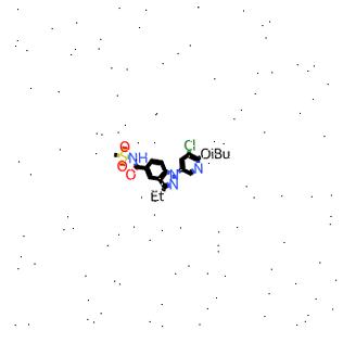 CCc1nn(-c2cnc(OCC(C)C)c(Cl)c2)c2ccc(C(=O)NS(C)(=O)=O)cc12